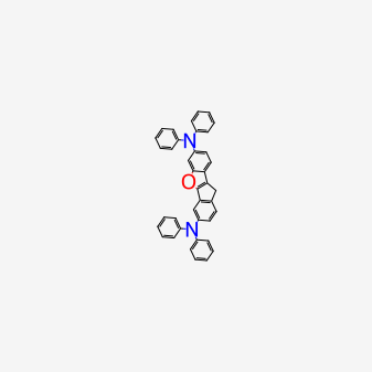 c1ccc(N(c2ccccc2)c2ccc3c(c2)-c2oc4cc(N(c5ccccc5)c5ccccc5)ccc4c2C3)cc1